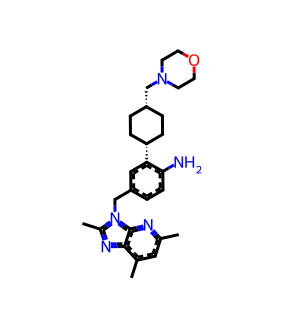 Cc1cc(C)c2nc(C)n(Cc3ccc(N)c([C@H]4CC[C@@H](CN5CCOCC5)CC4)c3)c2n1